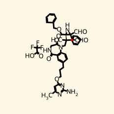 Cc1cc(OCCCc2ccc3c(c2)C(=O)NCC(=O)N3CC(C)(c2ccccc2)[C@@]2(C(=O)OCc3ccccc3)NC2(C=O)CC=O)nc(N)n1.O=C(O)C(F)(F)F